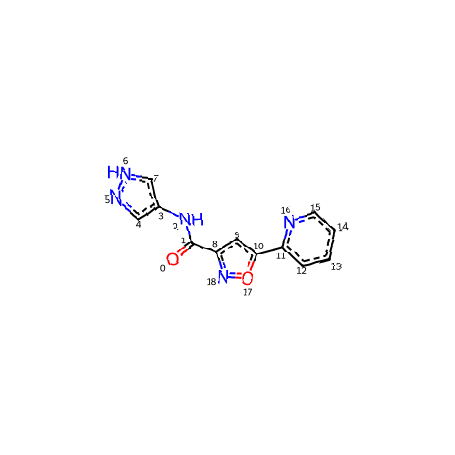 O=C(Nc1cn[nH]c1)c1cc(-c2ccccn2)on1